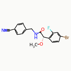 CO[C@H](C(=O)NCc1ccc(C#N)cc1)c1ccc(Br)cc1F